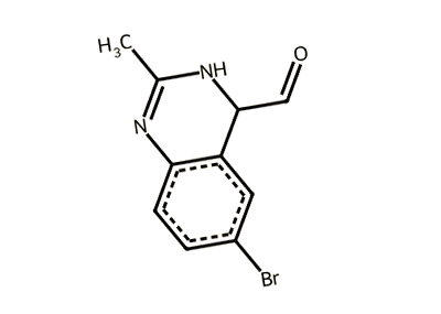 CC1=Nc2ccc(Br)cc2C(C=O)N1